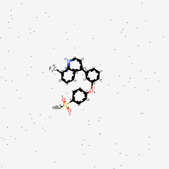 CCCCS(=O)(=O)c1ccc(Oc2cccc(-c3ccnc4c(C(F)(F)F)cccc34)c2)cc1